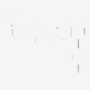 COc1ccc(-c2cccc3cnc(Nc4cccc(OC(C)N5CCCC5)c4)nc23)cc1